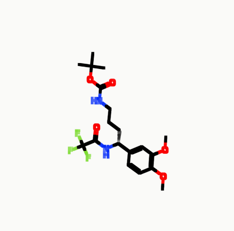 COc1ccc([C@@H](CCCNC(=O)OC(C)(C)C)NC(=O)C(F)(F)F)cc1OC